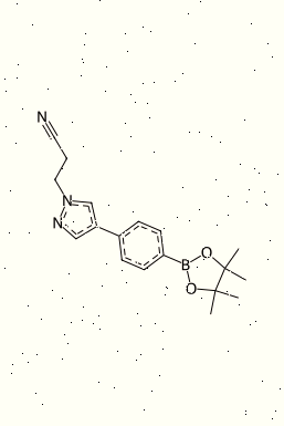 CC1(C)OB(c2ccc(-c3cnn(CCC#N)c3)cc2)OC1(C)C